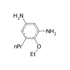 CCCc1cc(N)cc(N)c1OCC